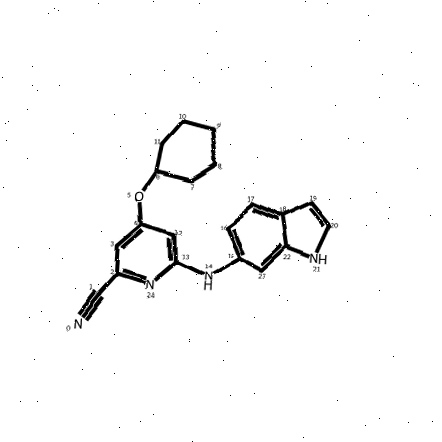 N#Cc1cc(OC2CCCCC2)cc(Nc2ccc3cc[nH]c3c2)n1